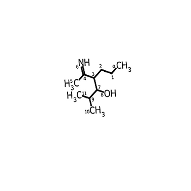 CCCC(C(C)=N)C(O)C(C)C